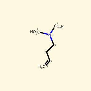 C=CCCN(C(=O)O)C(=O)O